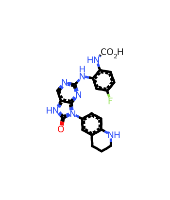 O=C(O)Nc1ccc(F)cc1Nc1ncc2[nH]c(=O)n(-c3ccc4c(c3)CCCN4)c2n1